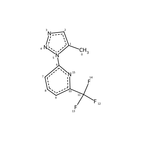 Cc1cnnn1-c1cccc(C(F)(F)F)n1